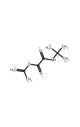 C=C(C)OC(=O)C(=O)NC(C)(C)C